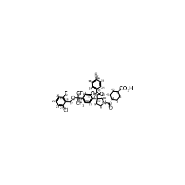 O=C(O)[C@H]1CC[C@H](C(=O)N2CC[C@](c3ccc(C(OCc4c(F)cccc4Cl)(C(F)(F)F)C(F)(F)F)cc3)(S(=O)(=O)c3ccc(F)cc3)C2)CC1